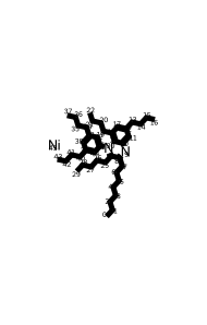 CCCCCCCCC(=Nc1cc(CCCC)cc(CCCC)c1)C(CCCCC)=Nc1cc(CCCC)cc(CCCC)c1.[Ni]